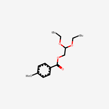 COc1ccc(C(=O)OCC(OCC(C)(C)C)OCC(C)(C)C)cc1